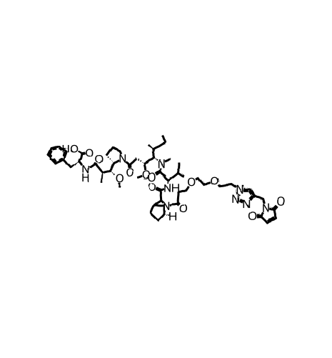 CC[C@H](C)[C@@H]([C@@H](CC(=O)N1CCC[C@H]1[C@H](OC)[C@@H](C)C(=O)N[C@@H](Cc1ccccc1)C(=O)O)OC)N(C)C(=O)[C@@H](NC(=O)C1C2CC[C@@H](C2)N1C(=O)CCOCCOCCn1cc(CN2C(=O)C=CC2=O)nn1)C(C)C